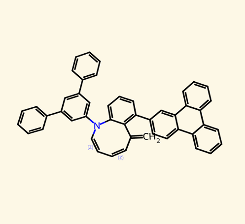 C=C1/C=C\C=C/N(c2cc(-c3ccccc3)cc(-c3ccccc3)c2)c2cccc(-c3ccc4c5ccccc5c5ccccc5c4c3)c21